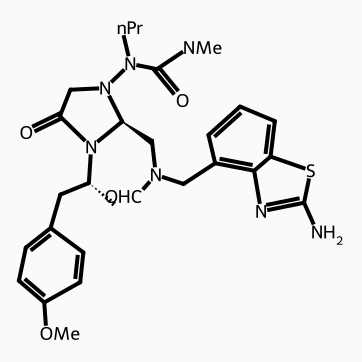 CCCN(C(=O)NC)N1CC(=O)N([C@H](C)Cc2ccc(OC)cc2)[C@@H]1CN(C=O)Cc1cccc2sc(N)nc12